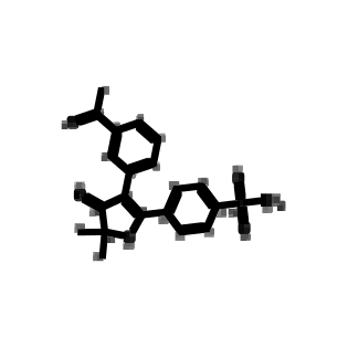 CC(=O)c1cccc(C2=C(c3ccc(S(N)(=O)=O)cc3)OC(C)(C)C2=O)c1